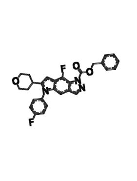 O=C(OCc1ccccc1)n1ncc2cc3c(cc(C4CCOCC4)n3-c3ccc(F)cc3)c(F)c21